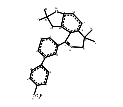 CCOC(=O)c1ccc(-c2cccc(C3=NCC(C)(C)c4ccc5c(c43)CC(C)(C)O5)c2)cc1